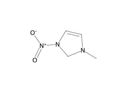 CN1C=CN([N+](=O)[O-])C1